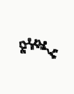 CC(C)N(CCNC(=O)c1csc(NC(=O)c2cccc(C#N)c2)n1)C(C)C